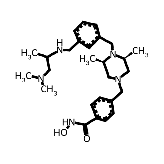 CC(CN(C)C)NCc1cccc(CN2[C@H](C)CN(Cc3ccc(C(=O)NO)cc3)C[C@@H]2C)c1